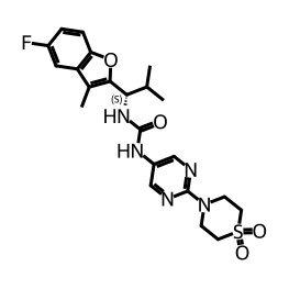 Cc1c([C@@H](NC(=O)Nc2cnc(N3CCS(=O)(=O)CC3)nc2)C(C)C)oc2ccc(F)cc12